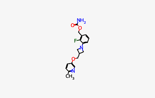 Cc1ccc(OCC2CN(c3cccc(COC(N)=O)c3F)C2)cn1